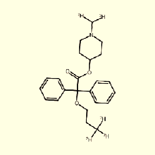 [2H]C([2H])N1CCC(OC(=O)C(OCCC([2H])([2H])[2H])(c2ccccc2)c2ccccc2)CC1